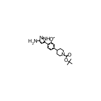 COc1cc(C2CCN(C(=O)OC(C)(C)C)CC2)ccc1-c1cc(N)n[nH]1